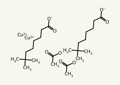 CC(=O)[O-].CC(=O)[O-].CC(C)(C)CCCCCC(=O)[O-].CC(C)(C)CCCCCC(=O)[O-].[Cu+2].[Cu+2]